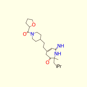 CC(C)CC1(C)NC(=N)C=C(CCC2CCN(C(=O)C3CCCO3)CC2)CC1=O